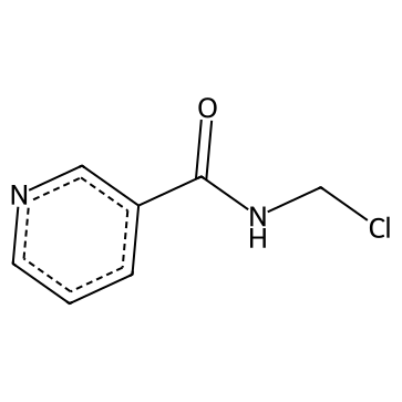 O=C(NCCl)c1cccnc1